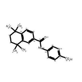 CC1(C)CCC(C)(C)c2cc(C(=O)Nc3ccc(C(=O)O)nc3)ccc21